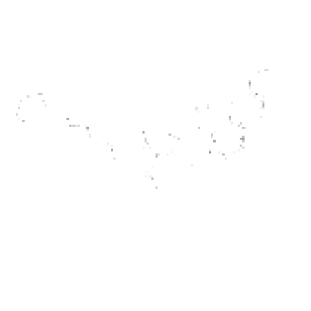 COc1ccc2ncc(Cl)c([C@H](O)CCC3(C(=O)NO)CCN(CCCSC4CCCC4)CC3)c2c1